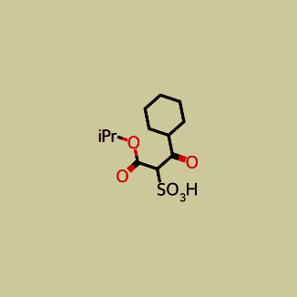 CC(C)OC(=O)C(C(=O)C1CCCCC1)S(=O)(=O)O